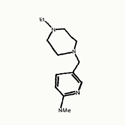 CCN1CCN(Cc2ccc(NC)nc2)CC1